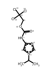 CC(C)n1cnc(NC(=O)OCC(Cl)(Cl)Cl)c1